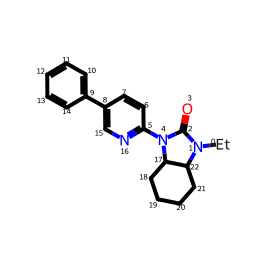 CCN1C(=O)N(c2ccc(-c3ccccc3)cn2)C2CCCCC21